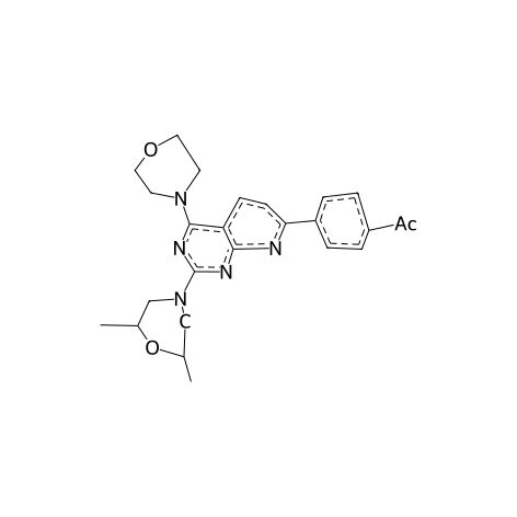 CC(=O)c1ccc(-c2ccc3c(N4CCOCC4)nc(N4CC(C)OC(C)C4)nc3n2)cc1